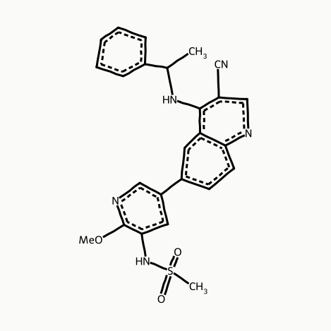 COc1ncc(-c2ccc3ncc(C#N)c(NC(C)c4ccccc4)c3c2)cc1NS(C)(=O)=O